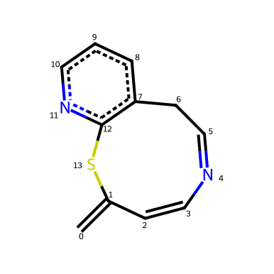 C=C1/C=C\N=C/Cc2cccnc2S1